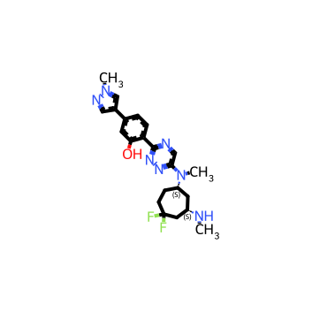 CN[C@H]1C[C@@H](N(C)c2cnc(-c3ccc(-c4cnn(C)c4)cc3O)nn2)CCC(F)(F)C1